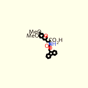 COc1cc2c(cc1OC)OCC(CC(NC(=O)OCC1c3ccccc3-c3ccccc31)C(=O)O)=C2